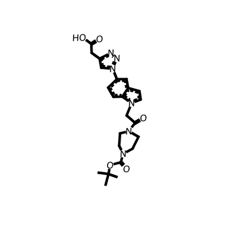 CC(C)(C)OC(=O)N1CCN(C(=O)Cn2ccc3cc(-n4cc(CC(=O)O)nn4)ccc32)CC1